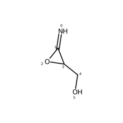 N=C1OC1CO